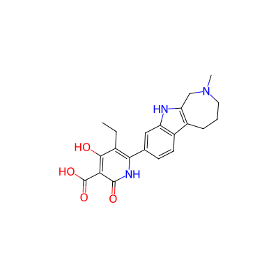 CCc1c(-c2ccc3c4c([nH]c3c2)CN(C)CCC4)[nH]c(=O)c(C(=O)O)c1O